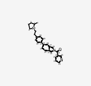 CC1CCCN1CCc1ccc(-c2ccc3cn(C(=O)c4cccnc4)cc3c2)cc1